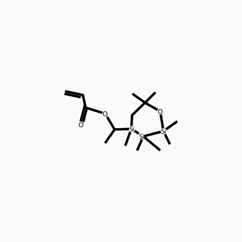 C=CC(=O)OC(C)[Si]1(C)CC(C)(C)O[Si](C)(C)[Si]1(C)C